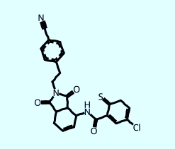 N#Cc1ccc(CCN2C(=O)C3CC=CC(NC(=O)C4=CC(Cl)=CCC4=S)C3C2=O)cc1